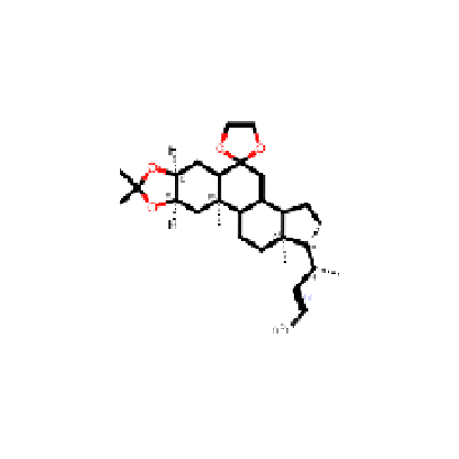 CCC/C=C/[C@@H](C)[C@H]1CCC2C3CC4(OCCO4)C4C[C@@H]5OC(C)(C)O[C@@H]5C[C@]4(C)C3CC[C@@]21C